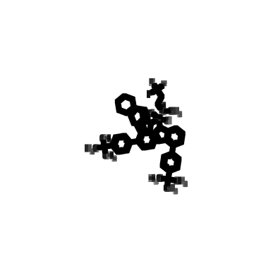 C[SiH](CCC(F)(F)F)[Zr]([Cl])([Cl])([CH]1C(CC2CCCCC2)=Cc2c(-c3ccc(C(C)(C)C)cc3)cccc21)[CH]1C(CC2CCCCC2)=Cc2c(-c3ccc(C(C)(C)C)cc3)cccc21